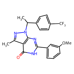 COc1cccc(-c2nc3c(c(C)nn3C(C)c3ccc(C(F)(F)F)cc3)c(=O)[nH]2)c1